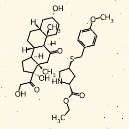 CCOC(=O)[C@@H]1C[C@H](SCc2ccc(OC)cc2)CN1.C[C@]12CC[C@@H](O)C[C@H]1CC[C@@H]1[C@@H]2C(=O)C[C@@]2(C)[C@H]1CC[C@]2(O)C(=O)CO